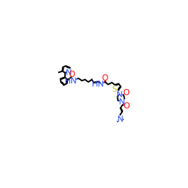 Cc1cccnc1-c1ccccc1C(=O)NCCCCCCCNC(=O)CCc1ccc(N2CCN(C(=O)C=CCN(C)C)CC2=O)s1